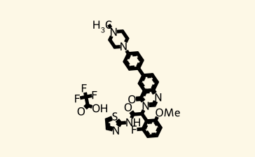 COc1cccc(F)c1C(C(=O)Nc1nccs1)n1cnc2ccc(-c3ccc(N4CCN(C)CC4)cc3)cc2c1=O.O=C(O)C(F)(F)F